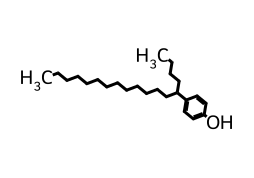 CCCCCCCCCCCCCC(CCCC)c1ccc(O)cc1